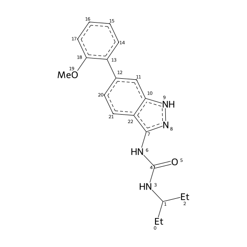 CCC(CC)NC(=O)Nc1n[nH]c2cc(-c3ccccc3OC)ccc12